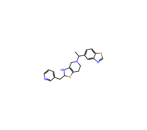 CC(c1ccc2scnc2c1)N1CCC2=C(C1)NC(Cc1cccnc1)S2